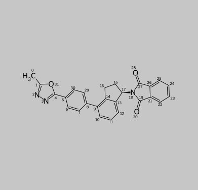 Cc1nnc(-c2ccc(-c3cccc4c3CC[C@H]4N3C(=O)c4ccccc4C3=O)cc2)o1